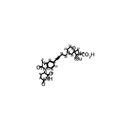 Cn1c(=O)n(C2CCC(=O)NC2=O)c2ccc(C#CCCN3CCOC4(C3)CN(C(=O)O)C4C(C)(C)C)cc21